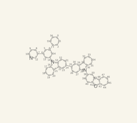 c1ccc(-c2cc(-c3cccnc3)cc(-n3c4ccccc4c4cc(-c5ccc6c(c5)c5ccccc5n6-c5ccc6oc7ccccc7c6c5)ccc43)c2)cc1